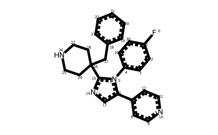 Fc1ccc(-n2c(-c3ccncc3)cnc2C2(Cc3ccccc3)CCNCC2)cc1